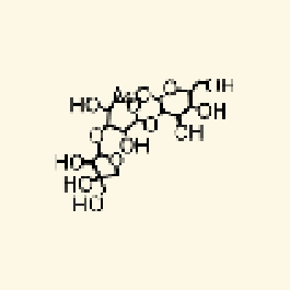 CC(=O)OC1OC(CO)C(O)C(O)C1OC1OCC(O)C(OC2OCC(O)(CO)C2O)C1O